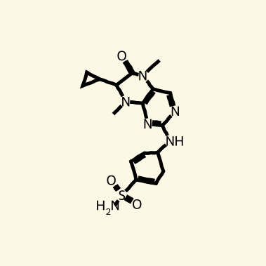 CN1C(=O)C(C2CC2)N(C)c2nc(NC3C=CC(S(N)(=O)=O)=CC3)ncc21